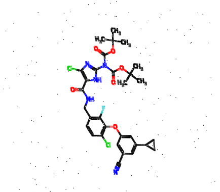 CC(C)(C)OC(=O)N(C(=O)OC(C)(C)C)c1nc(Cl)c(C(=O)NCc2ccc(Cl)c(Oc3cc(C#N)cc(C4CC4)c3)c2F)[nH]1